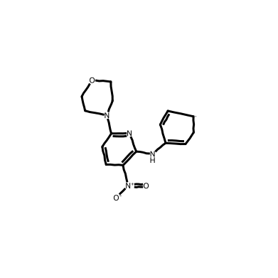 O=[N+]([O-])c1ccc(N2CCOCC2)nc1NC1=CC[CH]C=C1